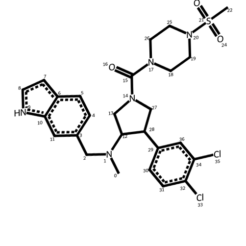 CN(Cc1ccc2cc[nH]c2c1)C1CN(C(=O)N2CCN(S(C)(=O)=O)CC2)CC1c1ccc(Cl)c(Cl)c1